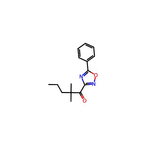 CCCC(C)(C)C(=O)c1noc(-c2ccccc2)n1